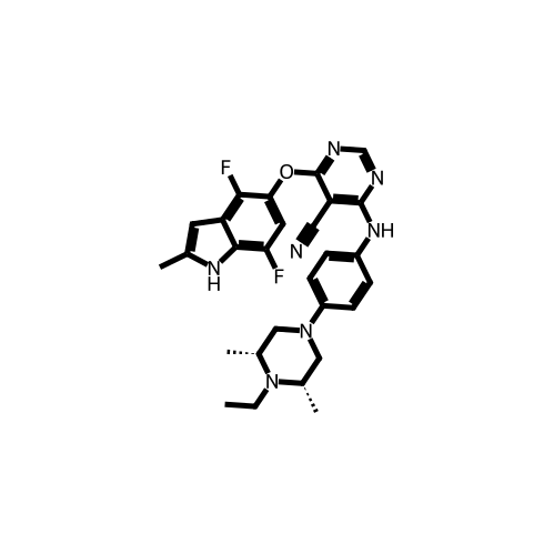 CCN1[C@H](C)CN(c2ccc(Nc3ncnc(Oc4cc(F)c5[nH]c(C)cc5c4F)c3C#N)cc2)C[C@@H]1C